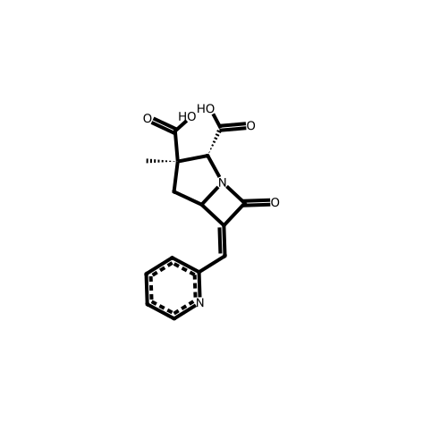 C[C@@]1(C(=O)O)CC2/C(=C\c3ccccn3)C(=O)N2[C@H]1C(=O)O